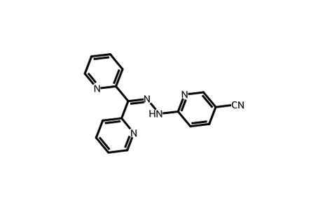 N#Cc1ccc(NN=C(c2ccccn2)c2ccccn2)nc1